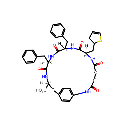 O=C1CCC(=O)N[C@H](CC2CC=CS2)C(=O)N[C@@H](Cc2ccccc2)C(=O)N[C@H](Cc2ccccc2)C(=O)N[C@H](C(=O)O)Cc2ccc(cc2)N1